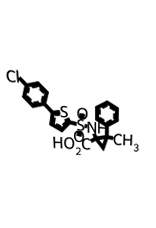 CC1(c2ccccc2)CC1(NS(=O)(=O)c1ccc(-c2ccc(Cl)cc2)s1)C(=O)O